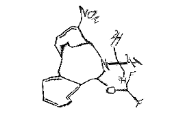 [2H]C([2H])([2H])N1C2CC(C=C2[N+](=O)[O-])c2ccccc2C1OC(F)F